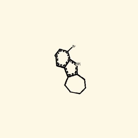 Brc1cccc2c3c([nH]c12)CCCCC3